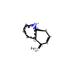 C=C1C=CCc2ncccc21